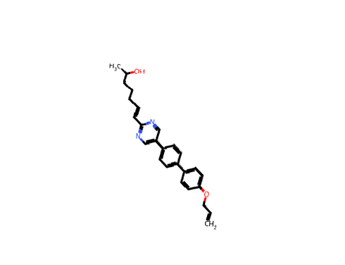 C=CCOc1ccc(-c2ccc(-c3cnc(/C=C/CCCC(C)O)nc3)cc2)cc1